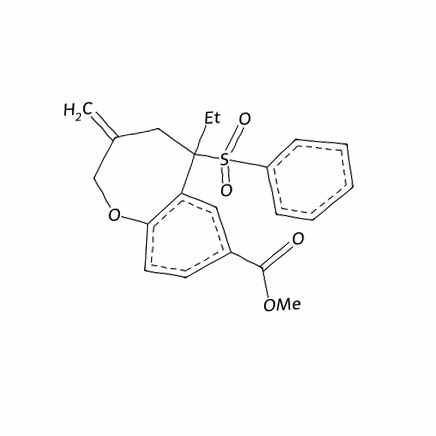 C=C1COc2ccc(C(=O)OC)cc2C(CC)(S(=O)(=O)c2ccccc2)C1